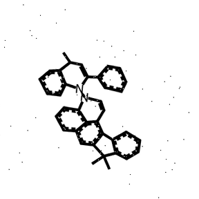 CC1C=C(c2ccccc2)N(N2C=Cc3c4c(cc5cccc2c35)C(C)(C)c2ccccc2-4)c2ccccc21